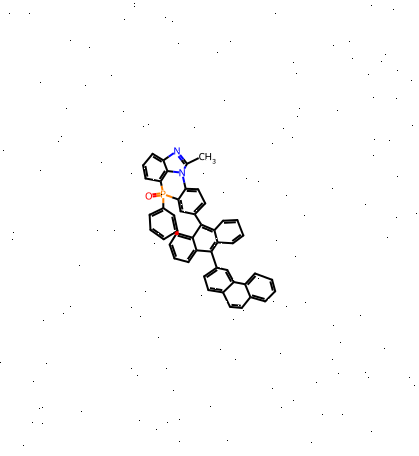 Cc1nc2cccc3c2n1-c1ccc(-c2c4ccccc4c(-c4ccc5ccc6ccccc6c5c4)c4ccccc24)cc1P3(=O)c1ccccc1